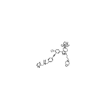 CS(=O)(=O)N1CCc2c(c(-c3ccc(Cl)c(C#Cc4ccc(CNCc5nccs5)cc4)c3)nn2CCCN2CCOCC2)C1